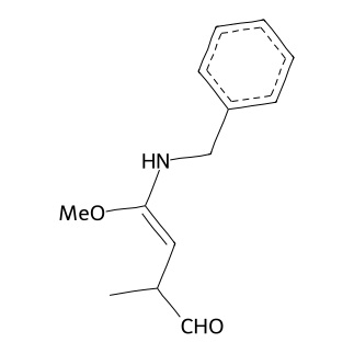 COC(=CC(C)C=O)NCc1ccccc1